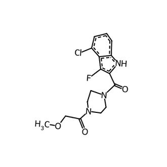 COCC(=O)N1CCN(C(=O)c2[nH]c3cccc(Cl)c3c2F)CC1